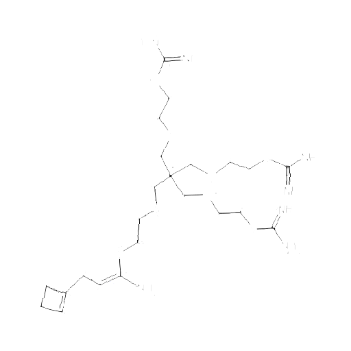 N=C(N)SCCSCC(CSCCSC(=N)N)(CSCCSC(=N)N)CSCCS/C(N)=C\CC1=CCC1